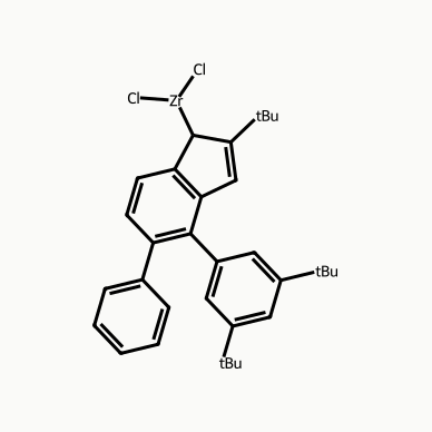 CC(C)(C)C1=Cc2c(ccc(-c3ccccc3)c2-c2cc(C(C)(C)C)cc(C(C)(C)C)c2)[CH]1[Zr]([Cl])[Cl]